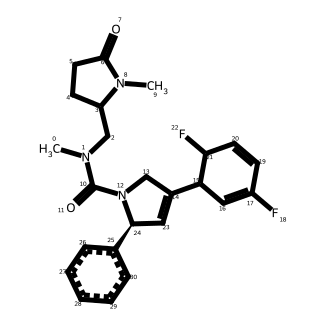 CN(CC1CCC(=O)N1C)C(=O)N1CC(C2C=C(F)C=CC2F)=C[C@H]1c1ccccc1